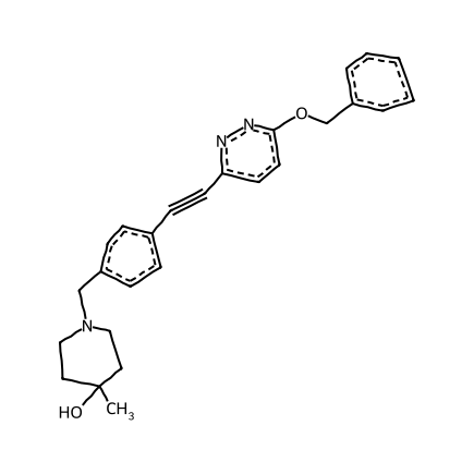 CC1(O)CCN(Cc2ccc(C#Cc3ccc(OCc4ccccc4)nn3)cc2)CC1